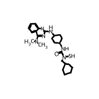 CN(C)c1nc(NC2CCC(NC(=O)N(S)CC3CCCCC3)CC2)nc2ccccc12